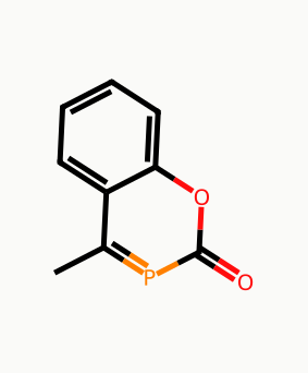 Cc1pc(=O)oc2ccccc12